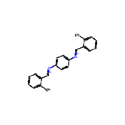 CC(C)c1ccccc1/C=N/c1ccc(/N=C/c2ccccc2C(C)C)cc1